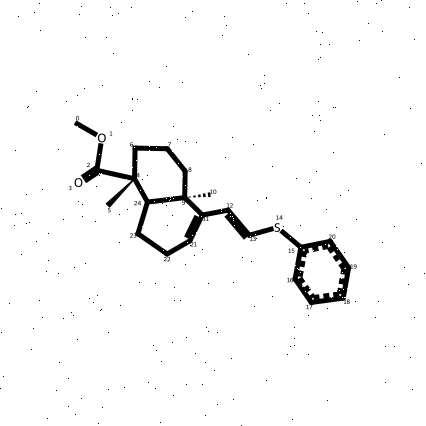 COC(=O)[C@]1(C)CCC[C@@]2(C)C(/C=C/Sc3ccccc3)=CCCC12